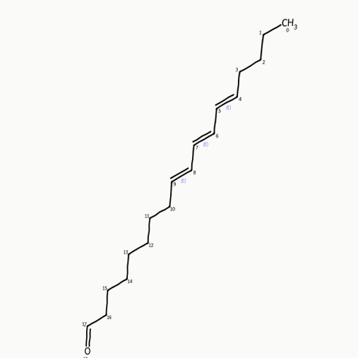 CCCC/C=C/C=C/C=C/CCCCCCC[C]=O